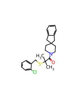 CC(C)(SCc1ccccc1Cl)C(=O)N1CCC2(CC1)Cc1ccccc1C2